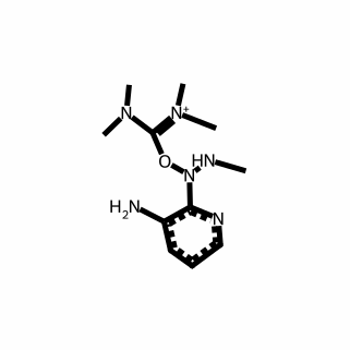 CNN(OC(N(C)C)=[N+](C)C)c1ncccc1N